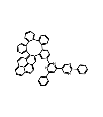 c1ccc(-c2cc(-c3cnc(-c4ccccc4)nc3)nc(-c3ccc4c5ccccc5c5ccccc5c5ccccc5c5c(cc6ccc7cccc8ccc5c6c78)c4c3)n2)cc1